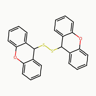 c1ccc2c(c1)Oc1ccccc1C2SSC1c2ccccc2Oc2ccccc21